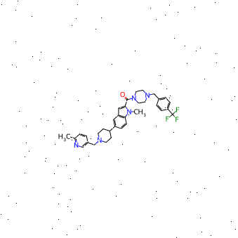 Cc1ccc(CN2CCC(c3ccc4c(c3)cc(C(=O)N3CCN(Cc5ccc(C(F)(F)F)cc5)CC3)n4C)CC2)cn1